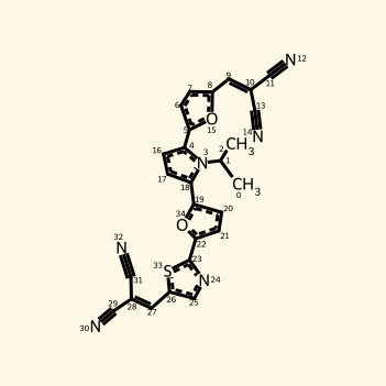 CC(C)n1c(-c2ccc(C=C(C#N)C#N)o2)ccc1-c1ccc(-c2ncc(C=C(C#N)C#N)s2)o1